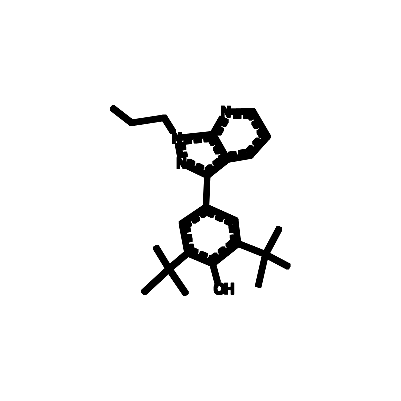 CCCn1nc(-c2cc(C(C)(C)C)c(O)c(C(C)(C)C)c2)c2cccnc21